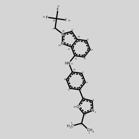 CC(C)c1ncc(-c2ccc(Nc3cccc4cn(CC(F)(F)F)nc34)cc2)o1